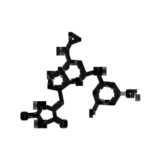 O=C1NC(=O)/C(=C/c2cnn3c(NC4CC4)cc(Nc4cc(F)cc(C(F)(F)F)c4)nc23)N1